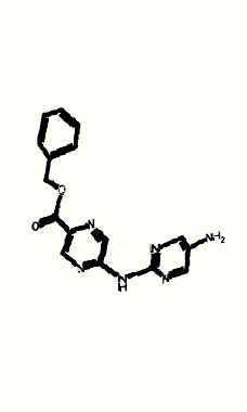 Nc1cnc(Nc2cnc(C(=O)OCc3ccccc3)cn2)nc1